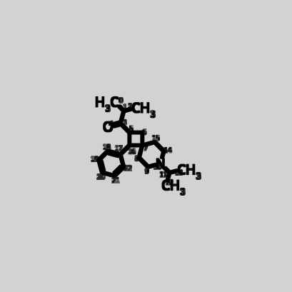 CC(C)C(=O)C1CC2(CCN(C(C)C)CC2)C1c1ccccc1